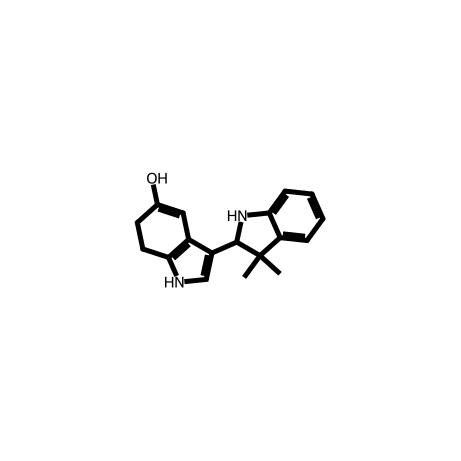 CC1(C)c2ccccc2NC1c1c[nH]c2c1C=C(O)CC2